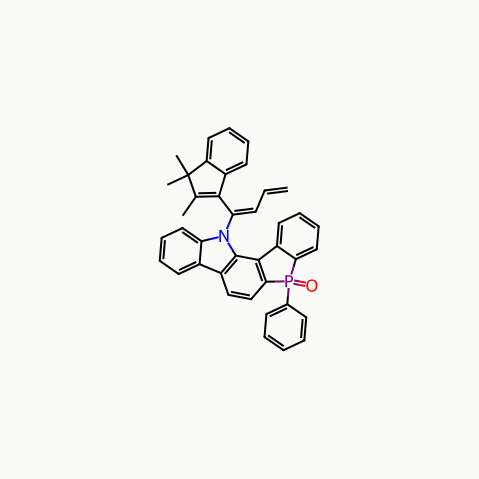 C=C/C=C(\C1=C(C)C(C)(C)c2ccccc21)n1c2ccccc2c2ccc3c(c21)-c1ccccc1P3(=O)c1ccccc1